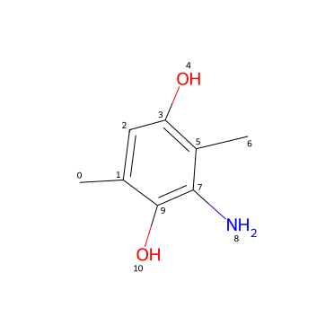 Cc1cc(O)c(C)c(N)c1O